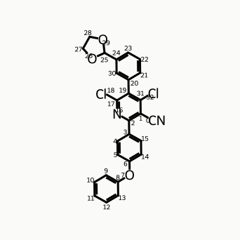 N#Cc1c(-c2ccc(Oc3ccccc3)cc2)nc(Cl)c(-c2cccc(C3OCCO3)c2)c1Cl